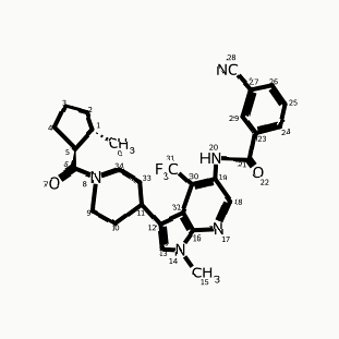 C[C@H]1CCC[C@@H]1C(=O)N1CCC(c2cn(C)c3ncc(NC(=O)c4cccc(C#N)c4)c(C(F)(F)F)c23)CC1